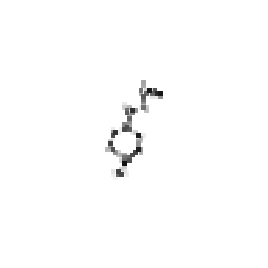 [C-]#[N+]N1CCC(OCOC)CC1